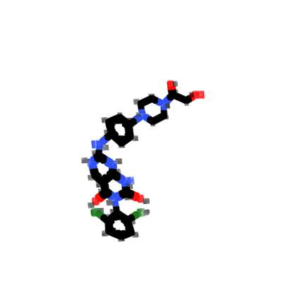 O=C(CO)N1CCN(c2ccc(Nc3ncc4c(=O)n(-c5c(Cl)cccc5Cl)c(=O)[nH]c4n3)cc2)CC1